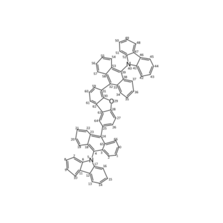 c1ccc2c(-n3c4ccccc4c4ccccc43)c3ccccc3c(-c3ccc4oc5c(-c6c7ccccc7c(-n7c8ccccc8c8ccccc87)c7ccccc67)cccc5c4c3)c2c1